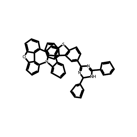 c1ccc(C2=NC(c3ccc4sc5cc(-c6cccc7oc8cccc(-n9c%10ccccc%10c%10ccccc%109)c8c67)ccc5c4c3)=NC(c3ccccc3)N2)cc1